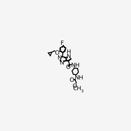 COCC(=O)N[C@H]1CC[C@@H](NC(=O)c2c[nH]c3c(-c4ccc(F)cc4OCC4CC4)ncnc23)CC1